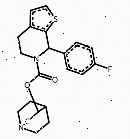 O=C(OC1CN2CCC1CC2)N1CCc2ccsc2C1c1ccc(F)cc1